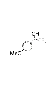 COc1ccc(C(O)C(F)(F)F)cc1